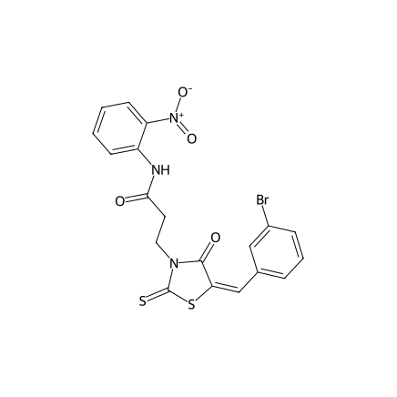 O=C(CCN1C(=O)C(=Cc2cccc(Br)c2)SC1=S)Nc1ccccc1[N+](=O)[O-]